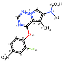 CCN(C(=O)O)c1cn2ncnc(Oc3ccc([N+](=O)[O-])cc3F)c2c1C